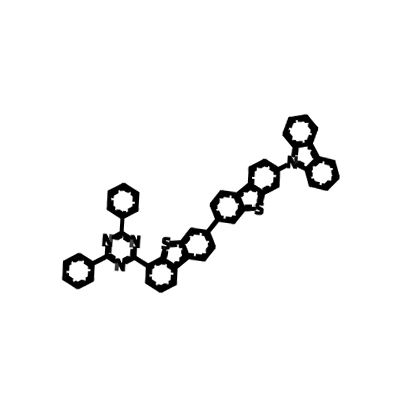 c1ccc(-c2nc(-c3ccccc3)nc(-c3cccc4c3sc3cc(-c5ccc6c(c5)sc5cc(-n7c8ccccc8c8ccccc87)ccc56)ccc34)n2)cc1